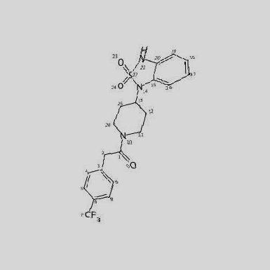 O=C(Cc1ccc(C(F)(F)F)cc1)N1CCC(N2c3ccccc3NS2(=O)=O)CC1